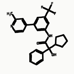 Cc1cc(-c2cc(NC(=O)C(O)(c3ccccc3)C3CCCC3)cc(C(F)(F)F)c2)ccn1